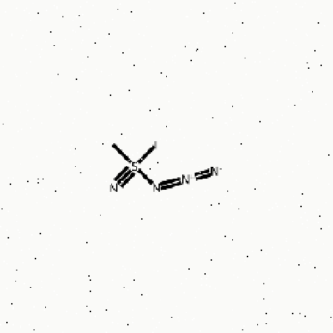 CS(#N)(I)N=[N+]=[N-]